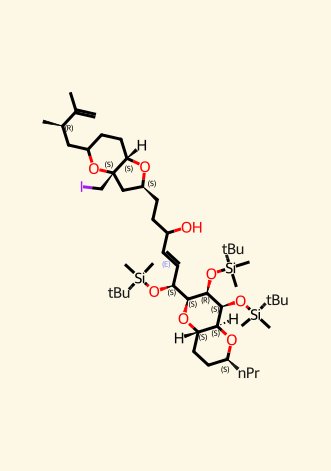 C=C(C)[C@H](C)CC1CC[C@@H]2O[C@@H](CCC(O)/C=C/[C@H](O[Si](C)(C)C(C)(C)C)[C@@H]3O[C@H]4CC[C@H](CCC)O[C@@H]4[C@H](O[Si](C)(C)C(C)(C)C)[C@@H]3O[Si](C)(C)C(C)(C)C)C[C@]2(CI)O1